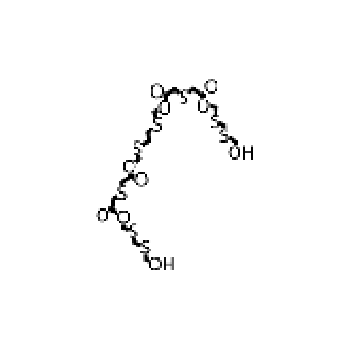 O=C(CSCC(=O)OCSCSCO)OCSCCSCOC(=O)CSCC(=O)OCSCSCO